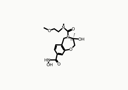 COCCN(C)C(=O)N1Cc2ccc(C(=O)NO)cc2OC[C@]1(C)O